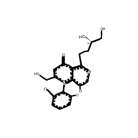 O=c1cc(CO)n(-c2c(Cl)cccc2Cl)c2c(Cl)cnc(CC[C@H](O)CO)c12